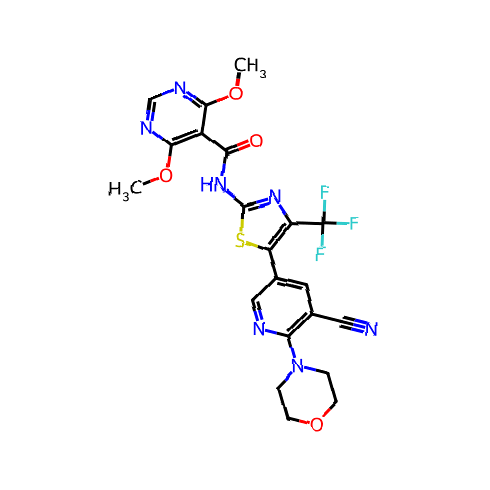 COc1ncnc(OC)c1C(=O)Nc1nc(C(F)(F)F)c(-c2cnc(N3CCOCC3)c(C#N)c2)s1